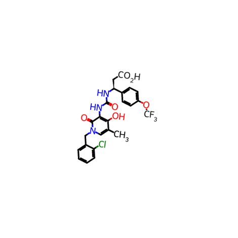 Cc1cn(Cc2ccccc2Cl)c(=O)c(NC(=O)N[C@@H](CC(=O)O)c2ccc(OC(F)(F)F)cc2)c1O